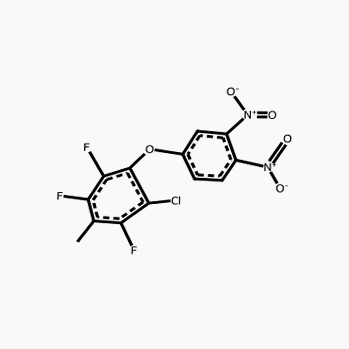 Cc1c(F)c(F)c(Oc2ccc([N+](=O)[O-])c([N+](=O)[O-])c2)c(Cl)c1F